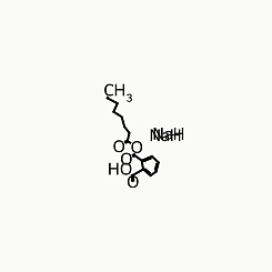 CCCCCCCC(=O)OC(=O)c1ccccc1C(=O)O.[NaH].[NaH]